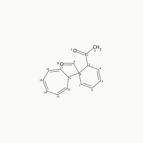 CC(=O)C1C=CC=CC1([C]=O)C1C=CC=CC=C1